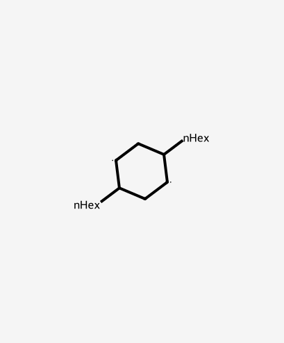 CCCCCCC1[CH]CC(CCCCCC)[CH]C1